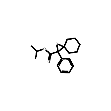 CC(C)OC(=O)C1(c2ccccc2)OC12CCCCC2